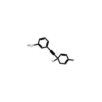 [2H]C1(C#Cc2cccc(C(=O)O)c2)C=CC(F)=CC1